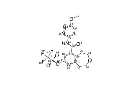 COc1ccc(NC(=O)c2cc(OS(=O)(=O)C(F)(F)F)nc3c2CCOCC3)nn1